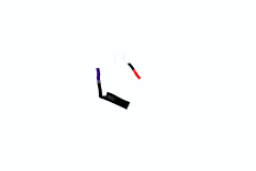 C=CI.CCO